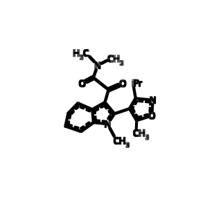 Cc1onc(C(C)C)c1-c1c(C(=O)C(=O)N(C)C)c2ccccc2n1C